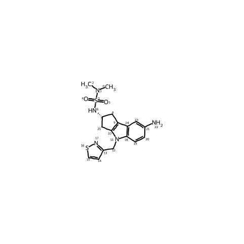 CN(C)S(=O)(=O)N[C@@H]1Cc2c(n(Cc3ccsn3)c3ccc(N)cc23)C1